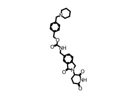 O=C1CCC(N2Cc3ccc(CNC(=O)OCc4ccc(CN5CCCCC5)cc4)cc3C2=O)C(=O)N1